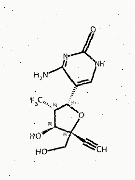 C#C[C@]1(CO)O[C@@H](c2c[nH]c(=O)nc2N)[C@@H](C(F)(F)F)[C@@H]1O